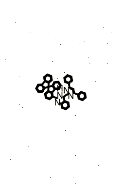 c1ccc(-c2cc(-c3ccccc3)nc(C3NC(c4cccc5c4-c4ccccc4C54c5ccccc5-c5ccccc54)=Nc4ccccc43)n2)cc1